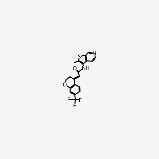 Cc1sc2cnccc2c1NC(=O)C=C1CCOc2cc(C(F)(F)F)ccc21